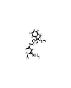 C=C(/C=C/OC(C)(OCC)c1ccccc1F)/C=C(/N)CC